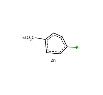 CCOC(=O)c1ccc(Br)cc1.[Zn]